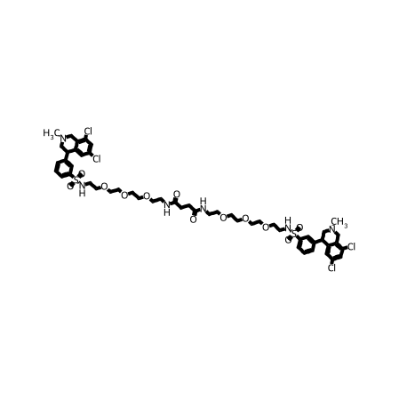 CN1Cc2c(Cl)cc(Cl)cc2C(c2cccc(S(=O)(=O)NCCOCCOCCOCCNC(=O)CCC(=O)NCCOCCOCCOCCNS(=O)(=O)c3cccc(C4CN(C)Cc5c(Cl)cc(Cl)cc54)c3)c2)C1